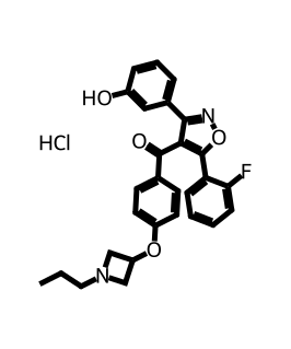 CCCN1CC(Oc2ccc(C(=O)c3c(-c4cccc(O)c4)noc3-c3ccccc3F)cc2)C1.Cl